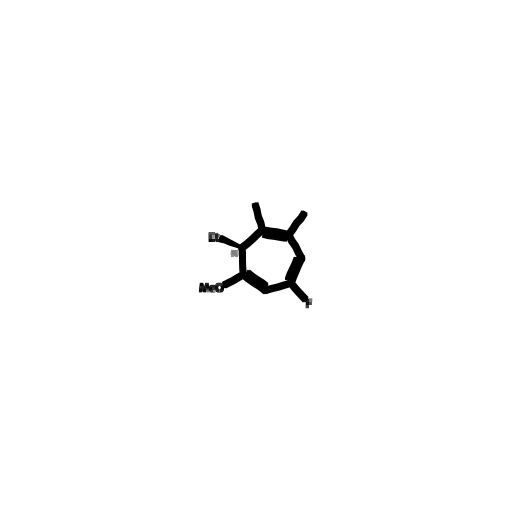 CC[C@@H]1C(OC)=CC(F)=CC(C)=C1C